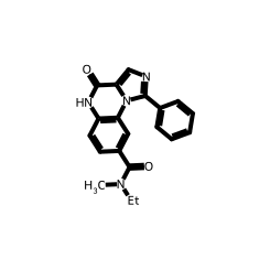 CCN(C)C(=O)c1ccc2[nH]c(=O)c3cnc(-c4ccccc4)n3c2c1